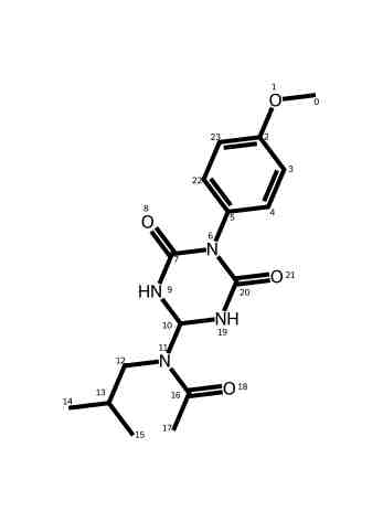 COc1ccc(N2C(=O)NC(N(CC(C)C)C(C)=O)NC2=O)cc1